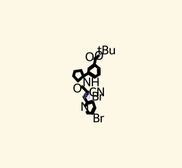 CC(C)(C)OC(=O)c1cccc(C2(NC(=O)/C(C#N)=C/c3ncc(Br)cc3Br)CCCC2)c1